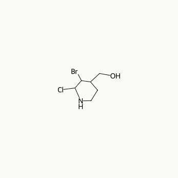 OCC1CCNC(Cl)C1Br